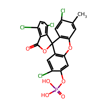 Cc1cc2c(cc1Cl)C1(OC(=O)c3c(Cl)ccc(Cl)c31)c1cc(Cl)c(OP(=O)(O)O)cc1O2